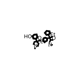 CCC(=O)C(c1ccccc1)(c1ccccc1)C(C)CN(C)C.CCC(=O)C1(c2cccc(O)c2)CCN(C)CC1